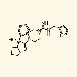 N=C(NCc1ccco1)N1CCN(C(=O)[C@](O)(c2ccccc2)C2CCCC2)CC1